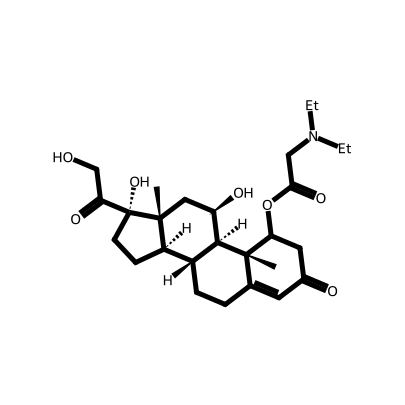 CCN(CC)CC(=O)OC1CC(=O)C=C2CC[C@H]3[C@@H]([C@H](O)C[C@]4(C)[C@@H]3CC[C@@]4(O)C(=O)CO)[C@@]21C